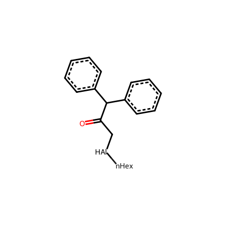 CCCCC[CH2][AlH][CH2]C(=O)C(c1ccccc1)c1ccccc1